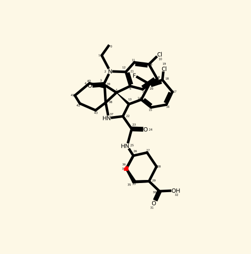 CCN1C(=O)[C@@]2(c3ccc(Cl)cc31)C(c1cccc(Cl)c1F)C(C(=O)NC13CCC(C(=O)O)(CC1)CC3)NC21CCCCC1